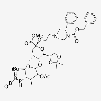 CC[C@H](C)C1O[C@H](O[C@H]2C([C@H]3COC(C)(C)O3)O[C@@](OCCN(C)CCN(Cc3ccccc3)C(=O)OCc3ccccc3)(C(=O)OC)C[C@H]2C)C(OC(C)=O)[C@@H](C)[C@@H]1PBB=O